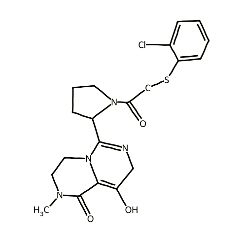 CN1CCN2C(C3CCCN3C(=O)CSc3ccccc3Cl)=NCC(O)=C2C1=O